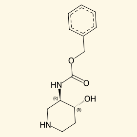 O=C(N[C@@H]1CNCC[C@H]1O)OCc1ccccc1